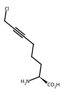 N[C@@H](CCCC#CCCl)C(=O)O